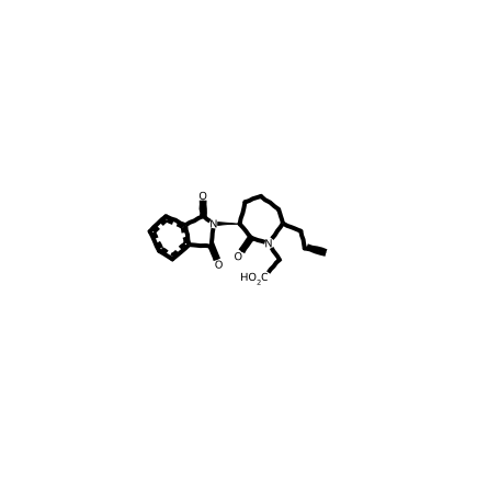 C=CCC1CCC[C@H](N2C(=O)c3ccccc3C2=O)C(=O)N1CC(=O)O